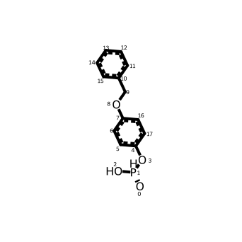 O=[PH](O)Oc1ccc(OCc2ccccc2)cc1